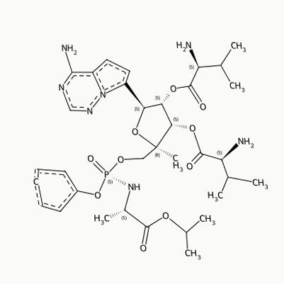 CC(C)OC(=O)[C@H](C)N[P@](=O)(OC[C@@]1(C)O[C@@H](c2ccc3c(N)ncnn23)[C@H](OC(=O)[C@@H](N)C(C)C)[C@@H]1OC(=O)[C@@H](N)C(C)C)Oc1ccccc1